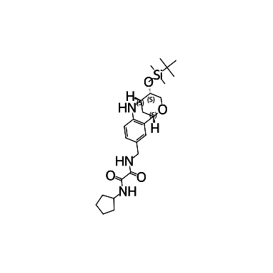 CC(C)(C)[Si](C)(C)O[C@@H]1CO[C@H]2C[C@@H]1Nc1ccc(CNC(=O)C(=O)NC3CCCC3)cc12